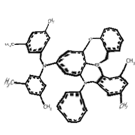 Cc1cc(C)cc(N(c2cc(C)cc(C)c2)c2cc3c4c(c2)N(c2ccccc2)c2cc(C)cc(C)c2B4c2ccccc2O3)c1